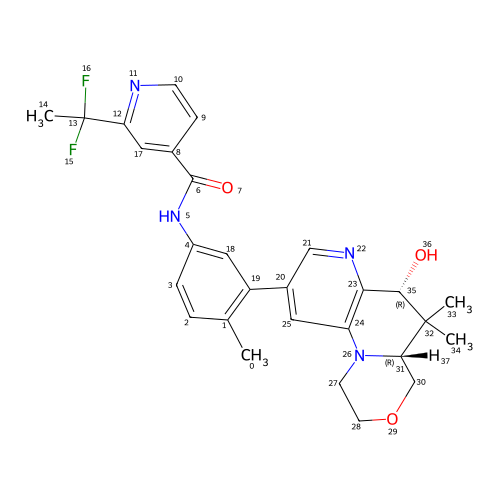 Cc1ccc(NC(=O)c2ccnc(C(C)(F)F)c2)cc1-c1cnc2c(c1)N1CCOC[C@H]1C(C)(C)[C@H]2O